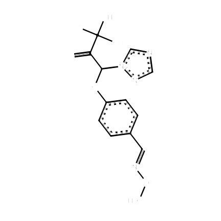 CON=Cc1ccc(OC(C(=O)C(C)(C)C)n2cncn2)cc1